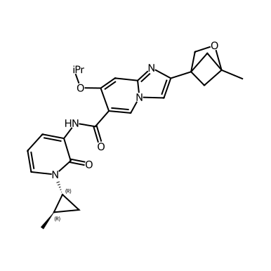 CC(C)Oc1cc2nc(C34COC(C)(C3)C4)cn2cc1C(=O)Nc1cccn([C@@H]2C[C@H]2C)c1=O